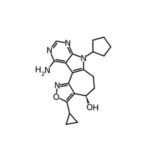 Nc1ncnc2c1c1c(n2C2CCCC2)CC[C@@H](O)c2c-1noc2C1CC1